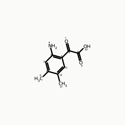 Cc1cc(N)c(C(=O)C(=O)O)cc1C